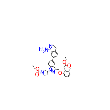 CCOC(=O)Cc1c(C)cccc1OCc1nn(C2CCN(C(=O)OCC)C2)c2ccc(-c3ccc4ccnc(N)c4c3)cc12